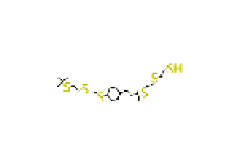 CC(C)(C)SCCSCCSC1CCC(CCC(C)(C)SCCSCCS)CC1